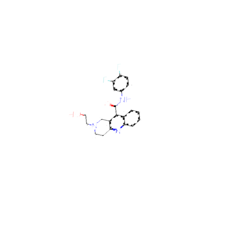 O=C(Nc1ccc(F)c(F)c1)c1c2c(nc3ccccc13)CCN(CCO)C2